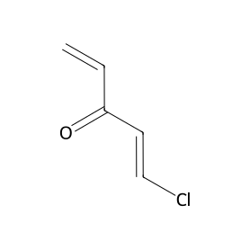 C=CC(=O)C=CCl